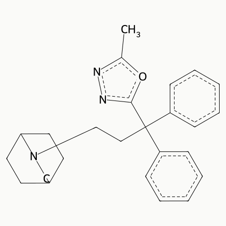 Cc1nnc(C(CCN2CC3CCC(CC3)C2)(c2ccccc2)c2ccccc2)o1